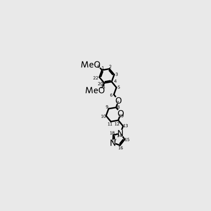 COc1ccc(CCOC2CCCC(Cn3ccnc3)O2)c(OC)c1